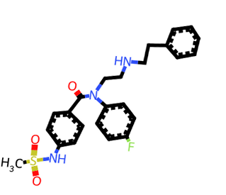 CS(=O)(=O)Nc1ccc(C(=O)N(CCNCCc2ccccc2)c2ccc(F)cc2)cc1